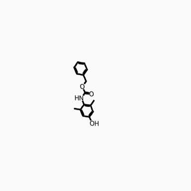 Cc1cc(O)cc(C)c1NC(=O)OCc1ccccc1